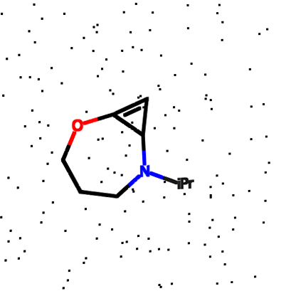 CC(C)N1CCCOC2=CC21